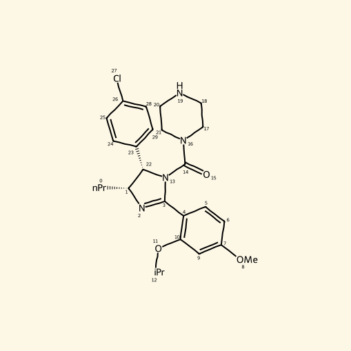 CCC[C@H]1N=C(c2ccc(OC)cc2OC(C)C)N(C(=O)N2CCNCC2)[C@H]1c1ccc(Cl)cc1